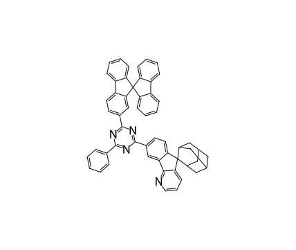 c1ccc(-c2nc(-c3ccc4c(c3)-c3ncccc3C43C4CC5CC(C4)CC3C5)nc(-c3ccc4c(c3)C3(c5ccccc5-c5ccccc53)c3ccccc3-4)n2)cc1